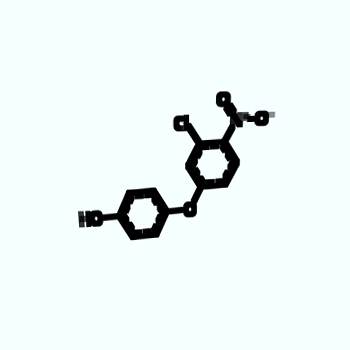 O=[N+]([O-])c1ccc(Oc2ccc(O)cc2)cc1Cl